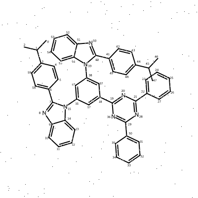 CC(C)c1ccc(-c2nc3ccccc3n2-c2cc(-c3nc(-c4ccccc4)nc(-c4ccccc4)n3)cc(-n3c(-c4ccc(C(C)C)cc4)nc4ccccc43)c2)cc1